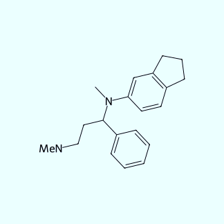 CNCCC(c1ccccc1)N(C)c1ccc2c(c1)CCC2